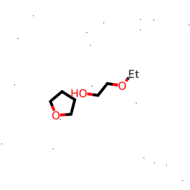 C1CCOC1.CCOCCO